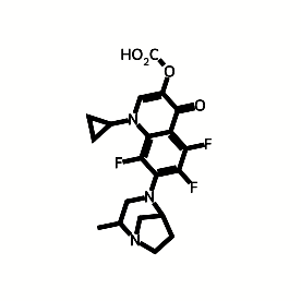 CC1CN(c2c(F)c(F)c3c(=O)c(OC(=O)O)cn(C4CC4)c3c2F)C2CCN1C2